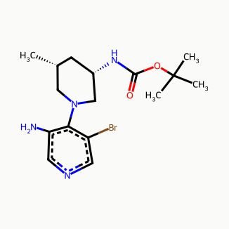 C[C@@H]1C[C@H](NC(=O)OC(C)(C)C)CN(c2c(N)cncc2Br)C1